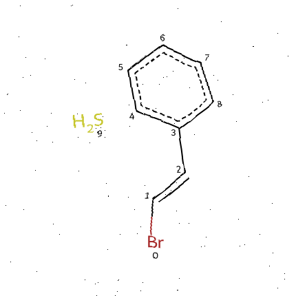 BrC=Cc1ccccc1.S